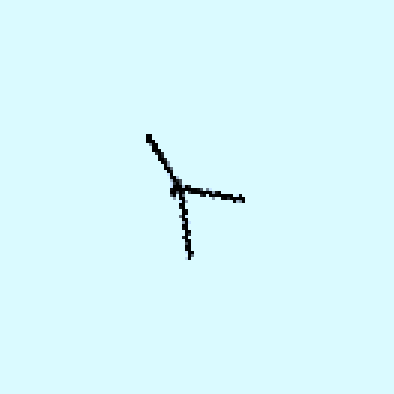 CCCCCCCCCCCCc1n(CCCCCCCCCCC)cc[n+]1CCCCCCCCCCCC